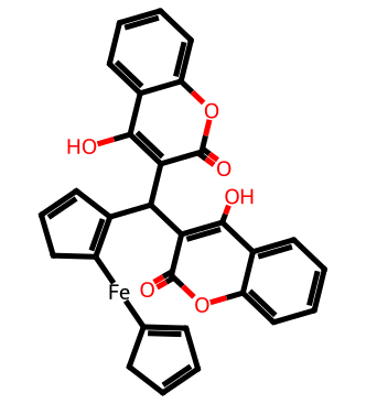 O=c1oc2ccccc2c(O)c1C(C1=[C]([Fe][C]2=CC=CC2)CC=C1)c1c(O)c2ccccc2oc1=O